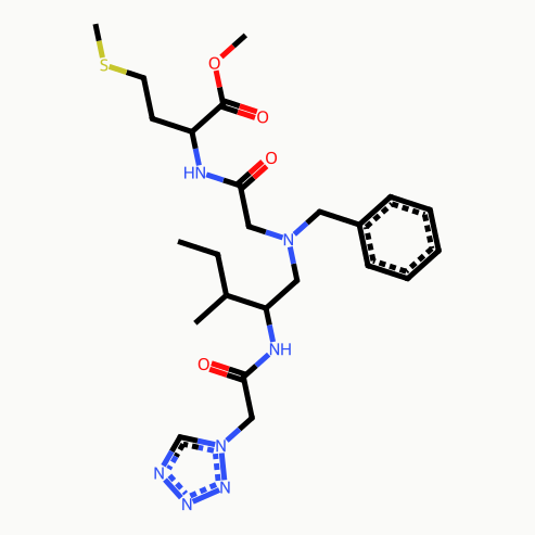 CCC(C)C(CN(CC(=O)NC(CCSC)C(=O)OC)Cc1ccccc1)NC(=O)Cn1cnnn1